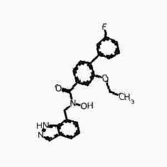 CCOc1cc(C(=O)N(O)Cc2cccc3cn[nH]c23)ccc1-c1cccc(F)c1